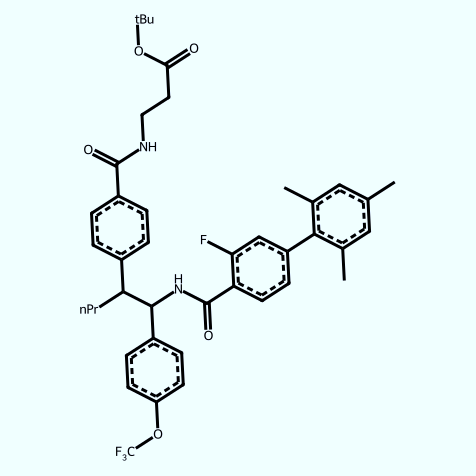 CCCC(c1ccc(C(=O)NCCC(=O)OC(C)(C)C)cc1)C(NC(=O)c1ccc(-c2c(C)cc(C)cc2C)cc1F)c1ccc(OC(F)(F)F)cc1